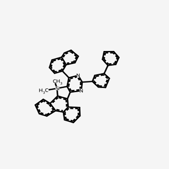 C[Si]1(C)c2c(-c3cccc4ccccc34)nc(-c3cccc(-c4ccccc4)c3)nc2-c2c1c1ccccc1c1ccccc21